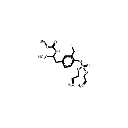 C=CCOP(=O)(OCC=C)Oc1ccc(CC(NC(=O)OC(C)(C)C)C(=O)O)cc1CF